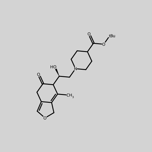 CC1=C2COC=C2CC(=O)C1[C@@H](O)CN1CCC(C(=O)OC(C)(C)C)CC1